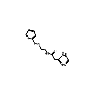 O=C(CC1=NN=CNN1)NCCSSc1ccccn1